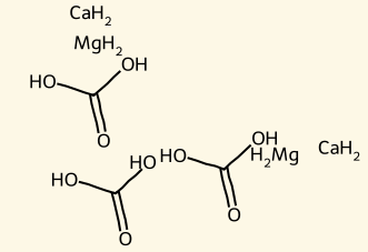 O=C(O)O.O=C(O)O.O=C(O)O.[CaH2].[CaH2].[MgH2].[MgH2]